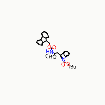 CC(C)(C)OC(=O)n1cc(CC(C=O)NC(=O)OCC2c3ccccc3-c3ccccc32)c2ccccc21